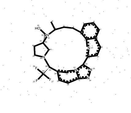 CC1CCc2cccc3ccc(nc23)-c2nnc3ccc(cn23)[C@H](C(F)(F)F)N2CC[C@](CO)(C2)N1